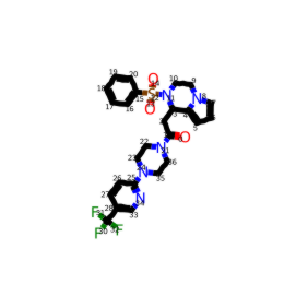 O=C(CC1c2cccn2CCN1S(=O)(=O)c1ccccc1)N1CCN(c2ccc(C(F)(F)F)cn2)CC1